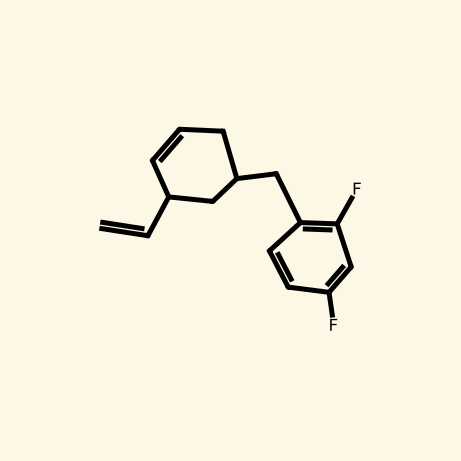 C=CC1C=CCC(Cc2ccc(F)cc2F)C1